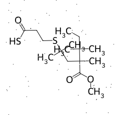 CCC(C)(C)C(C)(CC(C)(C)SCCC(=O)S)C(=O)OC